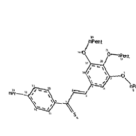 CCCCCOc1cc(C=CC(=S)c2ccc(CCC)cc2)cc(OCCCCC)c1OCCCCC